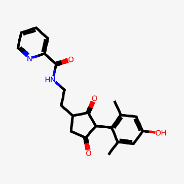 Cc1cc(O)cc(C)c1C1C(=O)CC(CCNC(=O)c2ccccn2)C1=O